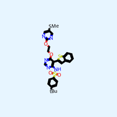 CSc1cnc(OCCOc2ncnc(NS(=O)(=O)c3ccc(C(C)(C)C)cc3)c2-c2cc3ccccc3s2)nc1